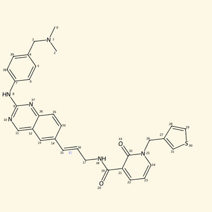 CN(C)Cc1ccc(Nc2ncc3cc(/C=C/CNC(=O)c4cccn(Cc5ccsc5)c4=O)ccc3n2)cc1